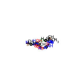 Cc1ncsc1-c1ccc(CNC(=O)[C@@H]2C[C@@H](O)CN2C(=O)[C@@H](c2cc(OCCN3CCC(NC(=O)C[C@@H]4N=C(c5ccc(Cl)cc5)c5c(sc(C)c5C)-n5c(C)nnc54)CC3)no2)C(C)C)cc1